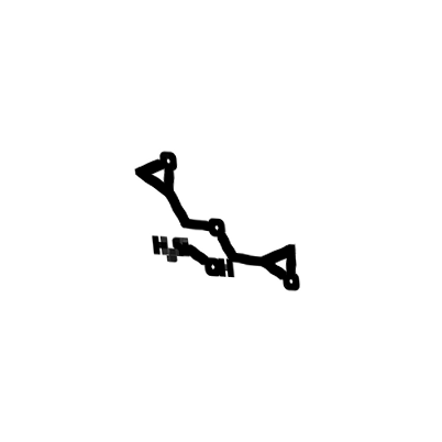 C(OCC1CO1)C1CO1.O[SiH3]